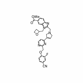 COC(=O)c1ccc2nc(CN3CC=C(c4ccnc(COc5ccc(C#N)cc5F)n4)C3)n(CC3CCO3)c2c1